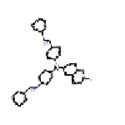 Cc1ccc2cc(N(c3ccc(/C=C/c4ccccc4)cc3)c3ccc(/C=C/c4ccccc4)cc3)ccc2c1